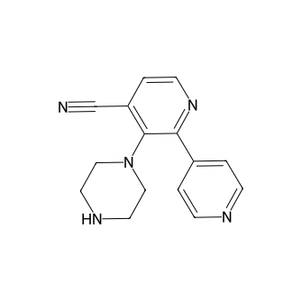 N#Cc1ccnc(-c2ccncc2)c1N1CCNCC1